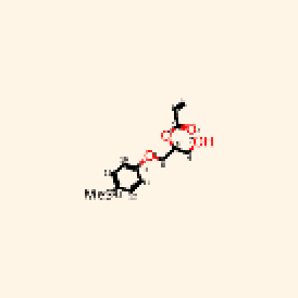 C=CC(=O)OC(CO)COc1ccc(SC)cc1